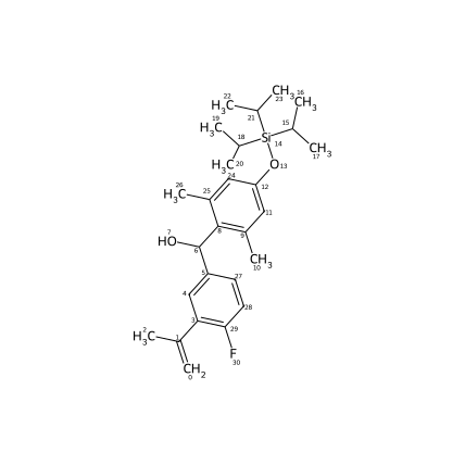 C=C(C)c1cc(C(O)c2c(C)cc(O[Si](C(C)C)(C(C)C)C(C)C)cc2C)ccc1F